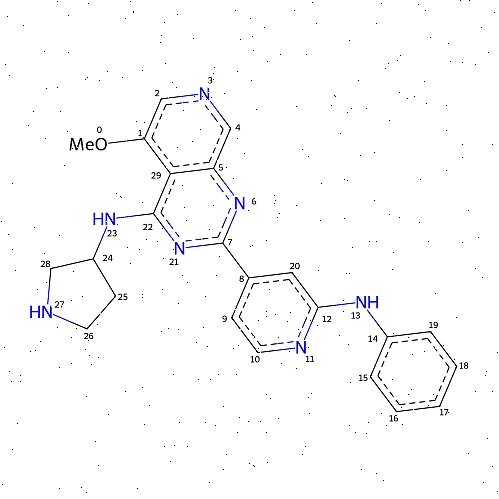 COc1cncc2nc(-c3ccnc(Nc4ccccc4)c3)nc(NC3CCNC3)c12